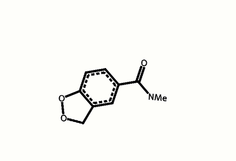 CNC(=O)c1ccc2c(c1)COO2